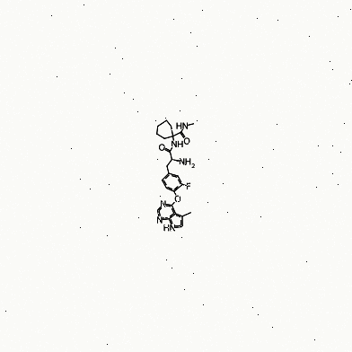 CNC(=O)C1(NC(=O)[C@@H](N)Cc2ccc(Oc3ncnc4[nH]cc(C)c34)c(F)c2)CCCCC1